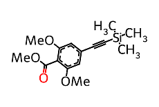 COC(=O)c1c(OC)cc(C#C[Si](C)(C)C)cc1OC